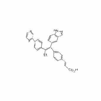 CCC(=C(c1ccc(C=CC(=O)O)cc1)c1ccc2[nH]ncc2c1)c1ccc(-c2cnccn2)cc1